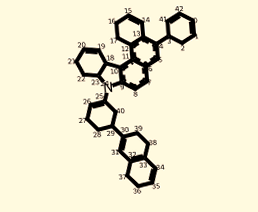 C1=CCC(c2cc3ccc4c(c3c3c2C=CCC3)C2C=CCCC2N4C2=CCCC(C3=CC4=C(C=CCC4)CC3)C2)C=C1